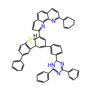 C1=CC(c2ccc3ccc4ccc(C5=CC(c6cccc(C7N=C(c8ccccc8)N=C(c8ccccc8)N7)c6)=CC6c7cc(-c8ccccc8)ccc7S[C@H]56)nc4c3n2)=CCC1